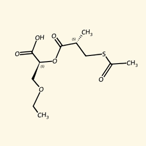 CCOC[C@H](OC(=O)[C@H](C)CSC(C)=O)C(=O)O